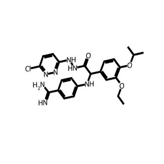 CCOc1cc(C(Nc2ccc(C(=N)N)cc2)C(=O)NNc2ccc(Cl)nn2)ccc1OC(C)C